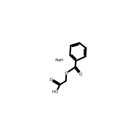 O=C(O)COC(=O)c1ccccc1.[NaH]